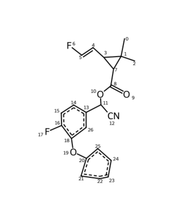 CC1(C)C(C=CF)C1C(=O)OC(C#N)c1ccc(F)c(Oc2ccccc2)c1